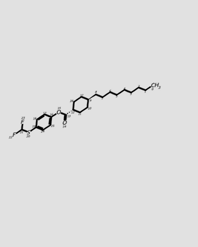 CCCCCCCCC[C@H]1CC[C@H](C(=O)Oc2ccc(SC(F)F)cc2)CC1